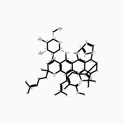 COC(=O)/C(C)=C\CC12OC(C)(C)C3CC(C1=O)C1C4=C(Nc5ncn1n5)c1c(O[C@H]5O[C@@H](CO)[C@H](O)[C@@H](O)[C@@H]5O)c5c(c(CC=C(C)C)c1OC432)OC(C)(CCC=C(C)C)C=C5